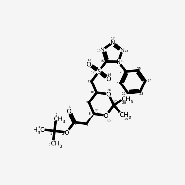 CC(C)(C)OC(=O)C[C@H]1CC(CS(=O)(=O)c2nnnn2-c2ccccc2)OC(C)(C)O1